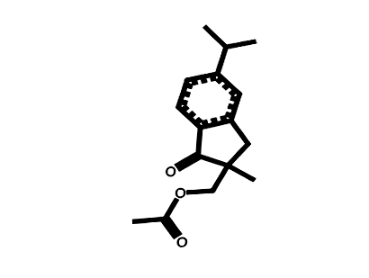 CC(=O)OCC1(C)Cc2cc(C(C)C)ccc2C1=O